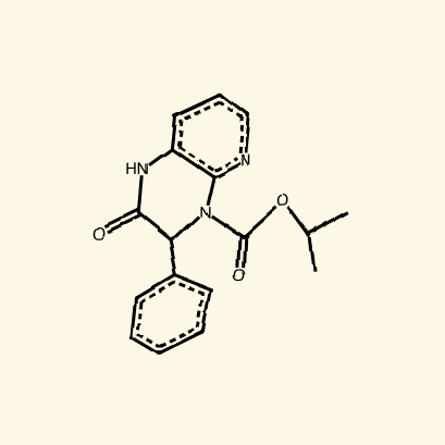 CC(C)OC(=O)N1c2ncccc2NC(=O)C1c1ccccc1